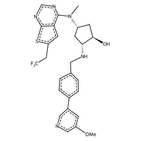 COc1cncc(-c2ccc(CN[C@@H]3C[C@H](N(C)c4ncnc5sc(CC(F)(F)F)cc45)C[C@H]3O)cc2)c1